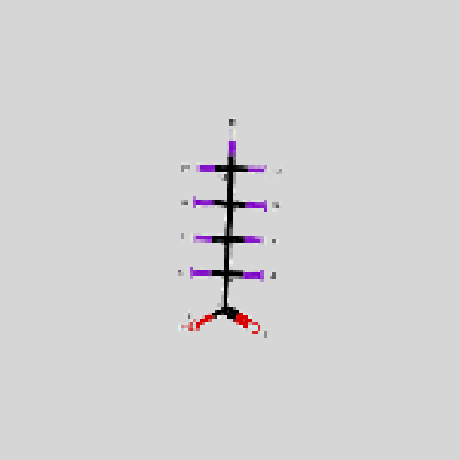 O=C(O)C(I)(I)C(I)(I)C(I)(I)C(I)(I)I